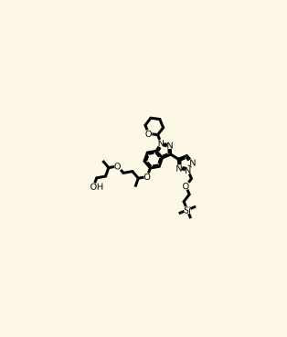 CC(CCO)OCCC(C)Oc1ccc2c(c1)c(-c1cnn(COCC[Si](C)(C)C)n1)nn2C1CCCCO1